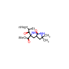 CCCCCCCC(CC)C(=O)C(N)(CC1CC(C)(C)NC1=O)C(=O)OC